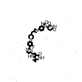 Cn1c(=O)n(C2CCC(=O)NC2=O)c2ccc(N3CC(CC4CCN(c5ccc(-c6nccc(-c7cc8c([nH]7)C7(CC7)CNC8=O)n6)c(F)c5)CC4)C3)cc21